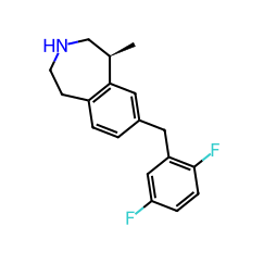 C[C@@H]1CNCCc2ccc(Cc3cc(F)ccc3F)cc21